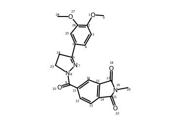 COc1ccc(C2=NN(C(=O)c3ccc4c(c3)C(=O)N(C)C4=O)CC2)cc1OC